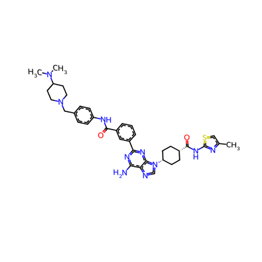 Cc1csc(NC(=O)[C@H]2CC[C@@H](n3cnc4c(N)nc(-c5cccc(C(=O)Nc6ccc(CN7CCC(N(C)C)CC7)cc6)c5)nc43)CC2)n1